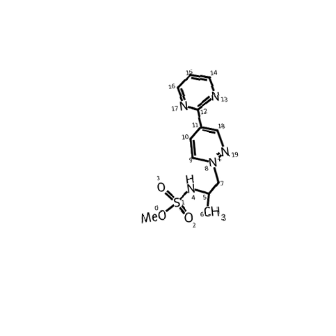 COS(=O)(=O)NC(C)C[n+]1ccc(-c2ncccn2)cn1